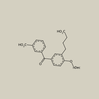 CCCCCCCCCCOc1ccc(C(=O)c2cccc(C(=O)O)c2)cc1CCCC(=O)O